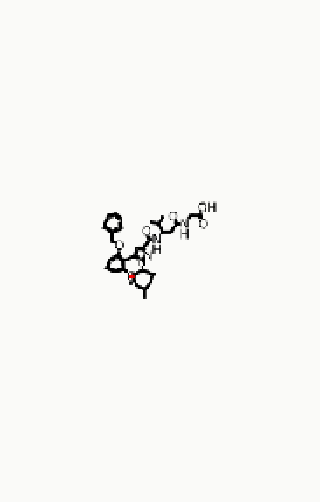 COc1cccc(OCc2ccccc2)c1-c1cc(C(=O)NC(CC(=O)NCC(=O)O)C(C)C)nn1C1CCC(C)CC1